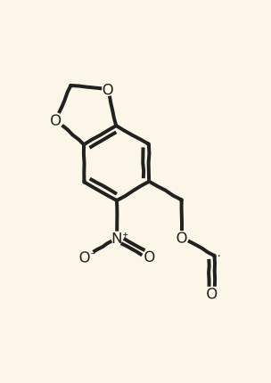 O=[C]OCc1cc2c(cc1[N+](=O)[O-])OCO2